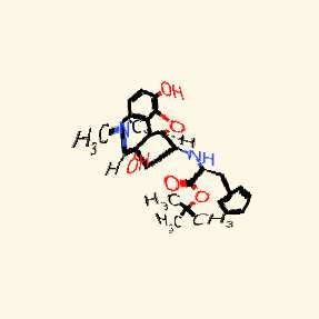 CN1CC[C@]23c4c5ccc(O)c4O[C@H]2[C@@H](N[C@@H](Cc2ccccc2)C(=O)OC(C)(C)C)CC[C@@]3(O)[C@H]1C5